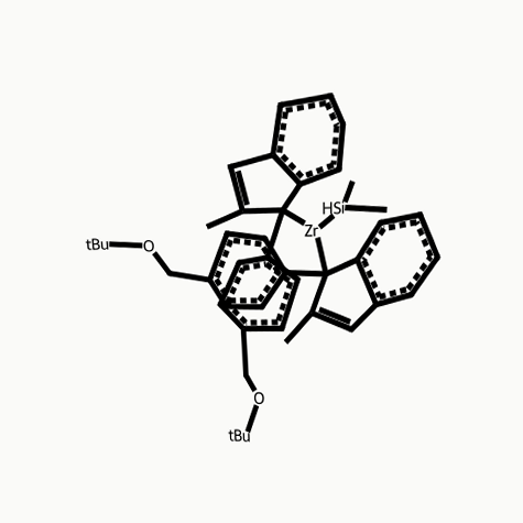 CC1=Cc2ccccc2[C]1(c1ccc(COC(C)(C)C)cc1)[Zr]([SiH](C)C)[C]1(c2ccc(COC(C)(C)C)cc2)C(C)=Cc2ccccc21